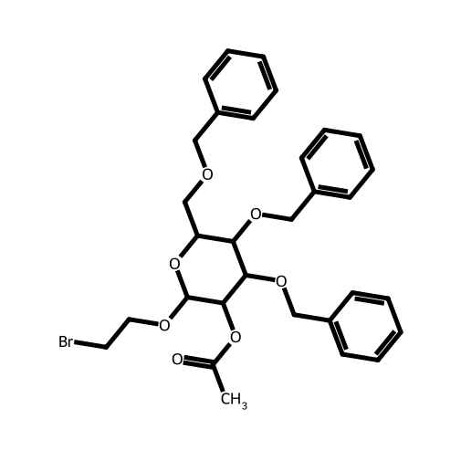 CC(=O)OC1C(OCCBr)OC(COCc2ccccc2)C(OCc2ccccc2)C1OCc1ccccc1